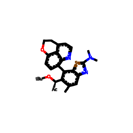 CC(=O)[C@@H](OC(C)(C)C)c1c(C)cc2nc(N(C)C)sc2c1-c1ccc2c3c(ccnc13)CCO2